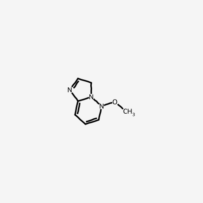 CON1C=CC=C2N=CCN21